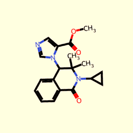 COC(=O)c1cncn1C1c2ccccc2C(=O)N(C2CC2)C1(C)C